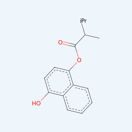 CC(C)C(C)C(=O)Oc1ccc(O)c2ccccc12